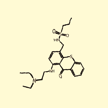 CCCS(=O)(=O)NCc1ccc(NCCN(CC)CC)c2c(=O)c3ccccc3sc12